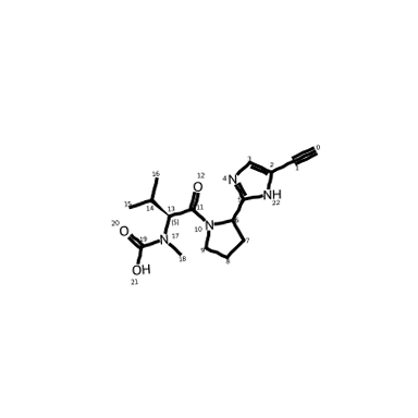 C#Cc1cnc(C2CCCN2C(=O)[C@H](C(C)C)N(C)C(=O)O)[nH]1